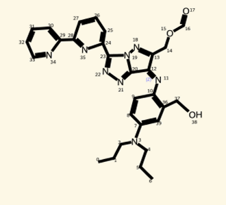 CCCN(CCC)c1ccc(/N=C2/C(COC=O)=Nn3c2nnc3-c2cccc(-c3ccccn3)n2)c(CO)c1